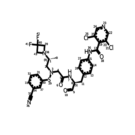 C[C@H](CN(CC(=O)N[C@H](C=O)Cc1ccc(NC(=O)c2c(Cl)cncc2Cl)cc1)Sc1cccc(C#N)c1)N1CC(F)(F)C1